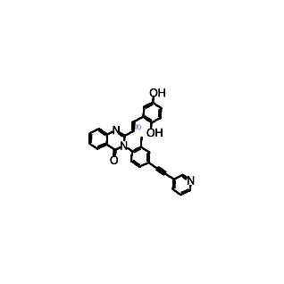 Cc1cc(C#Cc2cccnc2)ccc1-n1c(/C=C/c2cc(O)ccc2O)nc2ccccc2c1=O